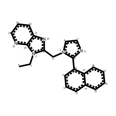 CCn1c(Cn2ccnc2-c2cccc3ccccc23)nc2cccnc21